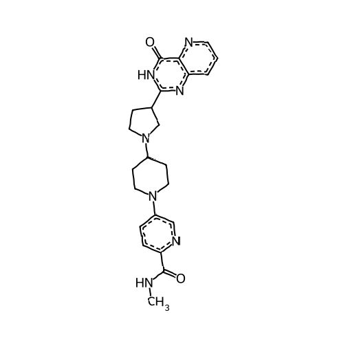 CNC(=O)c1ccc(N2CCC(N3CCC(c4nc5cccnc5c(=O)[nH]4)C3)CC2)cn1